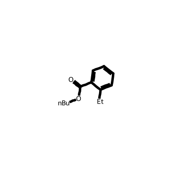 CCCCOC(=O)c1ccccc1CC